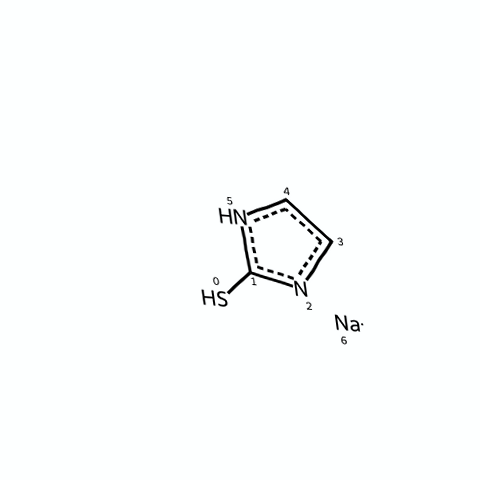 Sc1ncc[nH]1.[Na]